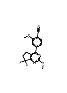 CSc1nc(-c2ccc(C#N)c(SC)c2)c2c(n1)C(F)(F)CC2